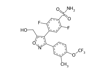 Cc1cc(-c2noc(CO)c2-c2cc(F)c(S(N)(=O)=O)cc2F)ccc1OC(F)(F)F